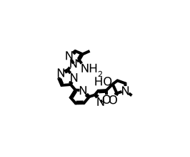 Cc1cnn(-c2nccc(-c3cccc(-c4cc([C@]5(O)CCN(C)C5=O)on4)n3)n2)c1N